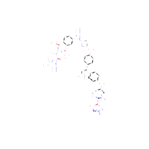 C=C[C@@H](c1ccc(Oc2cnc(-c3nnc(C)o3)nc2)cc1)c1ccc(OC2CC(Nc3ccc4c(c3)C(=O)N(C3CCC(=O)NC3=O)C4=O)C2)cc1